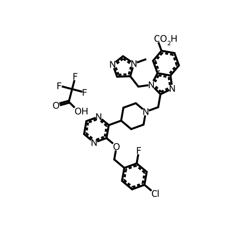 Cn1cncc1Cn1c(CN2CCC(c3nccnc3OCc3ccc(Cl)cc3F)CC2)nc2ccc(C(=O)O)cc21.O=C(O)C(F)(F)F